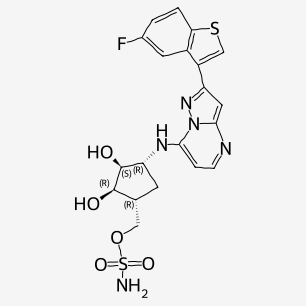 NS(=O)(=O)OC[C@H]1C[C@@H](Nc2ccnc3cc(-c4csc5ccc(F)cc45)nn23)[C@H](O)[C@@H]1O